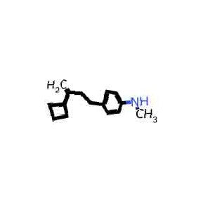 C=C(CCc1ccc(NC)cc1)C1CCC1